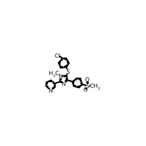 Cn1c(-c2cccnc2)nc(-c2ccc(S(C)(=O)=O)cc2)c1Sc1ccc(Cl)cc1